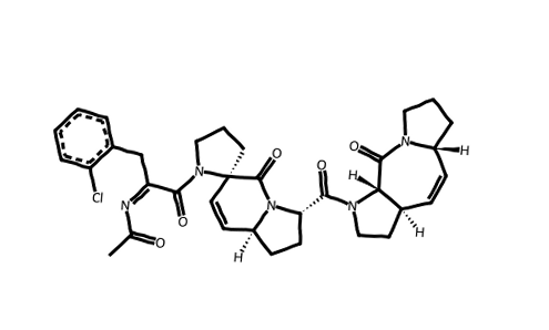 CC(=O)/N=C(/Cc1ccccc1Cl)C(=O)N1CCC[C@]12C=C[C@@H]1CC[C@@H](C(=O)N3CC[C@@H]4C=C[C@H]5CCCN5C(=O)[C@H]43)N1C2=O